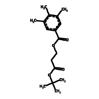 Cc1cc(C(=O)OCCC(=O)OC(C)(C)C)cc(C)c1C